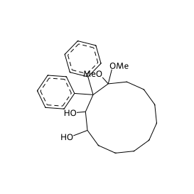 COC1(OC)CCCCCCCCC(O)C(O)C1(c1ccccc1)c1ccccc1